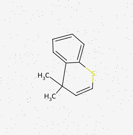 CC1(C)C=CSc2ccccc21